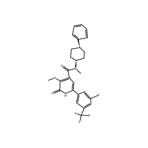 COc1c(C(=O)N(C)[C@H]2CC[C@@H](c3ccccc3)CC2)cc(-c2cc(F)cc(C(F)(F)F)c2)[nH]c1=O